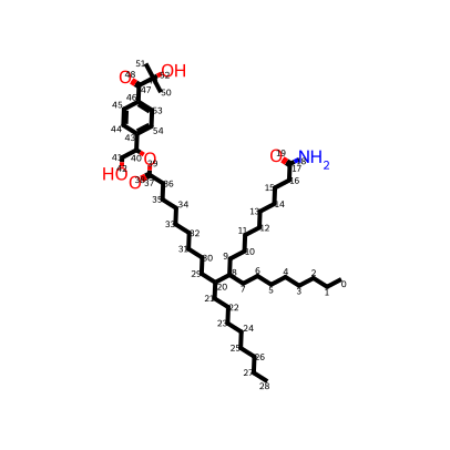 CCCCCCCCC(CCCCCCCCC(N)=O)C(CCCCCCCC)CCCCCCCCC(=O)OC(CO)c1ccc(C(=O)C(C)(C)O)cc1